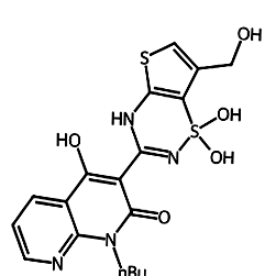 CCCCn1c(=O)c(C2=NS(O)(O)c3c(CO)csc3N2)c(O)c2cccnc21